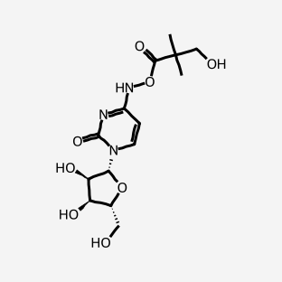 CC(C)(CO)C(=O)ONc1ccn([C@@H]2O[C@H](CO)[C@@H](O)[C@H]2O)c(=O)n1